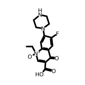 CC[N+]1([O-])C=C(C(=O)O)C(=O)c2cc(F)c(N3CCNCC3)cc21